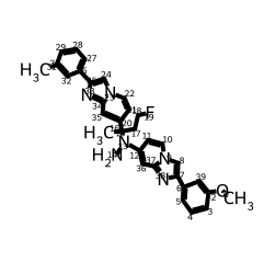 COc1cccc(-c2cn3ccc(N(N)C(C)(CCF)c4ccn5cc(-c6cccc(C)c6)nc5c4)cc3n2)c1